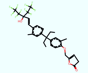 CCC(CC)(c1ccc(C=CC(O)(C(F)(F)C(F)(F)F)C(F)(F)C(F)(F)F)c(C)c1)c1ccc(OCC2=CCC(=O)O2)c(C)c1